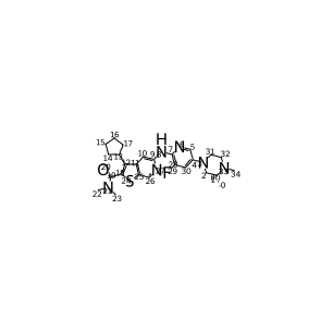 C[C@@H]1CN(c2cnc(Nc3cc4c(C5CCCC5)c(C(=O)N(C)C)sc4cn3)c(F)c2)CCN1C